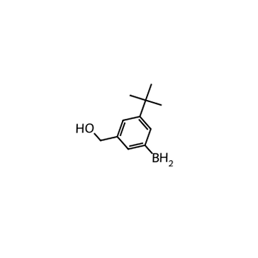 Bc1cc(CO)cc(C(C)(C)C)c1